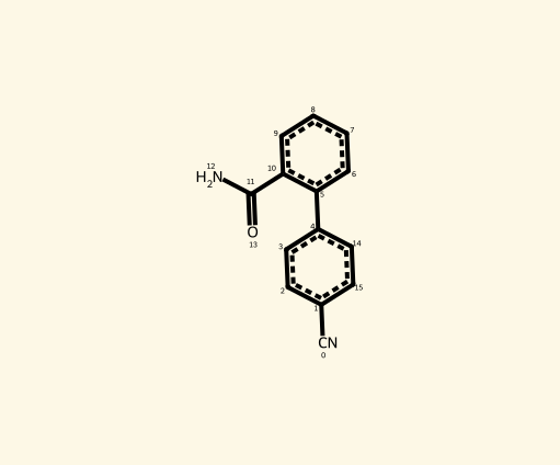 N#Cc1ccc(-c2ccccc2C(N)=O)cc1